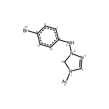 CC(=O)N1C=NN(Nc2ccc(Br)cc2)C1